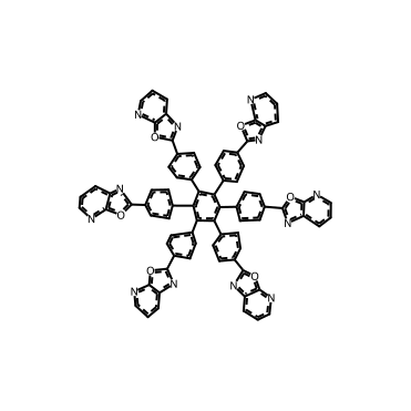 c1cnc2oc(-c3ccc(-c4c(-c5ccc(-c6nc7cccnc7o6)cc5)c(-c5ccc(-c6nc7cccnc7o6)cc5)c(-c5ccc(-c6nc7cccnc7o6)cc5)c(-c5ccc(-c6nc7cccnc7o6)cc5)c4-c4ccc(-c5nc6cccnc6o5)cc4)cc3)nc2c1